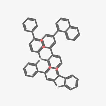 c1ccc(-c2ccc(N(c3ccccc3-c3cccc(-c4cccc5ccccc45)c3)c3ccccc3-c3ccc4c(c3)sc3ccccc34)cc2)cc1